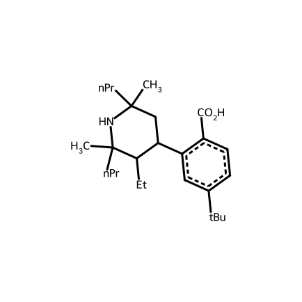 CCCC1(C)CC(c2cc(C(C)(C)C)ccc2C(=O)O)C(CC)C(C)(CCC)N1